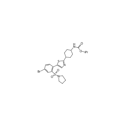 CC(C)OC(=O)NC1CCC(c2ncc(-c3ccc(Br)cc3S(=O)(=O)N3CCCC3)s2)CC1